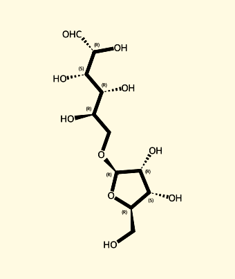 O=C[C@H](O)[C@@H](O)[C@H](O)[C@H](O)CO[C@@H]1O[C@H](CO)[C@@H](O)[C@H]1O